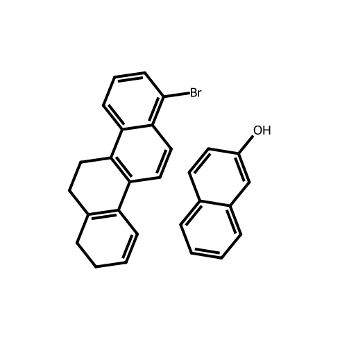 Brc1cccc2c3c(ccc12)C1=C(CCC=C1)CC3.Oc1ccc2ccccc2c1